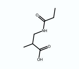 CCC(=O)NCC(C)C(=O)O